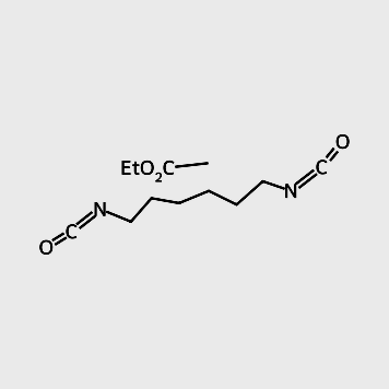 CCOC(C)=O.O=C=NCCCCCCN=C=O